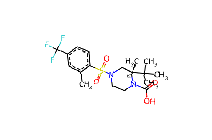 Cc1cc(C(F)(F)F)ccc1S(=O)(=O)N1CCN(C(=O)O)[C@@](C)(C(C)(C)C)C1